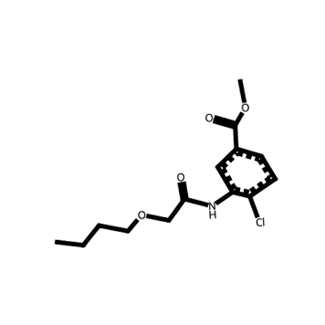 CCCCOCC(=O)Nc1cc(C(=O)OC)ccc1Cl